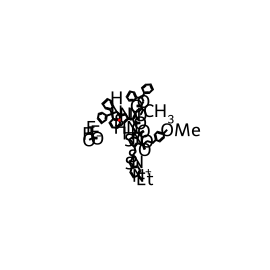 CC[n+]1ccc2sc(SCC3=C(C(=O)OCc4ccc(OC)cc4)N4C(=O)C(NC(=O)/C(=N\O[C@@H](C)C(=O)OC(c5ccccc5)c5ccccc5)c5csc(NC(c6ccccc6)(c6ccccc6)c6ccccc6)n5)[C@@H]4SC3)nc2c1.O=C([O-])C(F)(F)F